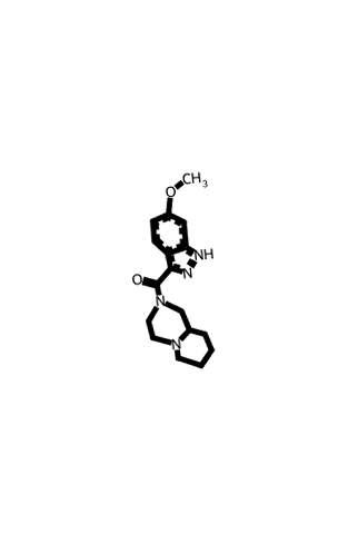 COc1ccc2c(C(=O)N3CCN4CCCCC4C3)n[nH]c2c1